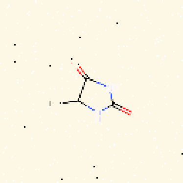 CCCCC1NC(=O)NC1=O